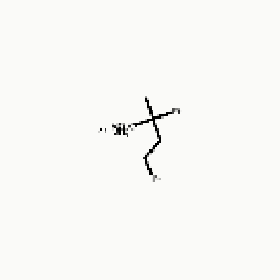 B.CCC(C)(CCC(C)C)C(=O)O.[Zr]